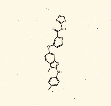 Cc1ccc(Nc2nc3cc(Oc4ccnc(C(=O)Nc5nccs5)c4)ccc3n2C)cc1